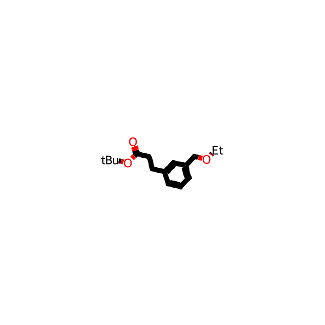 CCOCc1cccc(CCC(=O)OC(C)(C)C)c1